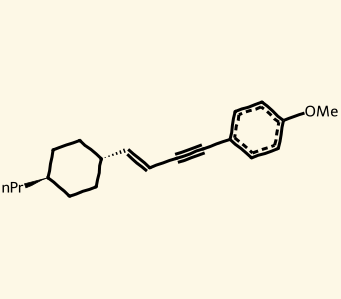 CCC[C@H]1CC[C@H](C=CC#Cc2ccc(OC)cc2)CC1